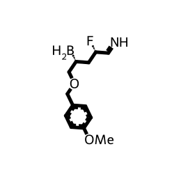 B[C@@H](COCc1ccc(OC)cc1)C[C@H](F)C=N